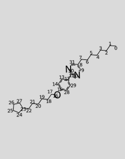 CCCCCCCCc1cnc(-c2ccc(OCCCCCCC3CCCC3)cc2)nc1